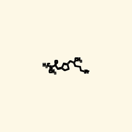 CC(C)CCCC(C)CC1=CC(=CC(=O)N(C)C)CC1